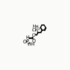 Cl.NC(COC(=O)C[PH](=O)O)CC1CCCCC1